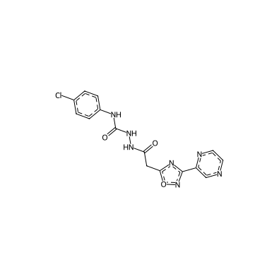 O=C(Cc1nc(-c2cnccn2)no1)NNC(=O)Nc1ccc(Cl)cc1